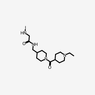 CCN1CCC(C(=O)N2CCC(CNC(=O)CNI)CC2)CC1